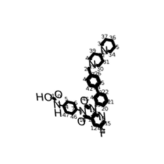 O=C(O)N[C@H]1CC[C@@H](n2c(=O)c3cc(F)cnc3n(-c3cccc(-c4ccc(CN5CCC(N6CCCCC6)CC5)cc4)c3)c2=O)CC1